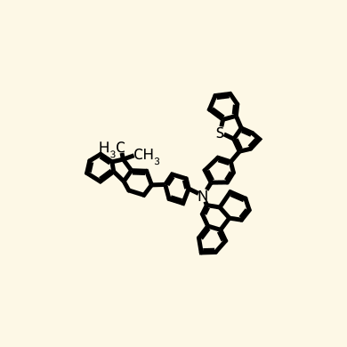 CC1(C)C2=CC(c3ccc(N(C4=Cc5ccccc5C5C=CC=CC45)c4ccc(-c5cccc6c5sc5ccccc56)cc4)cc3)CCC2c2ccccc21